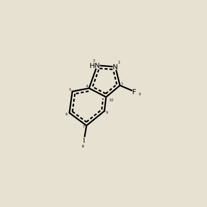 Fc1n[nH]c2ccc(I)cc12